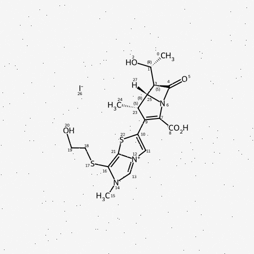 C[C@@H](O)[C@H]1C(=O)N2C(C(=O)O)=C(c3c[n+]4cn(C)c(SCCO)c4s3)[C@H](C)[C@H]12.[I-]